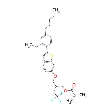 C=C(C)C(=O)OCC(COc1ccc2cc(-c3ccc(CCCCC)cc3CC)sc2c1)CC(F)(F)F